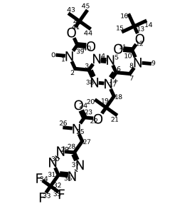 CN(Cc1nnc(CN(C)C(=O)OC(C)(C)C)[n+](CC(C)(C)OC(=O)N(C)Cc2nnc(C(F)(F)F)nn2)n1)C(=O)OC(C)(C)C